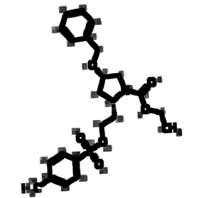 CCOC(=O)N1C[C@H](OCc2ccccc2)C[C@H]1CCOS(=O)(=O)c1ccc(C)cc1